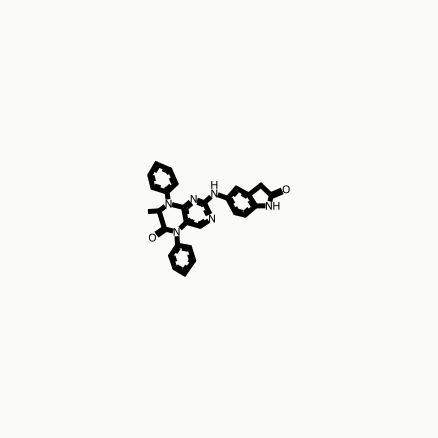 CC1C(=O)N(c2ccccc2)c2cnc(Nc3ccc4c(c3)CC(=O)N4)nc2N1c1ccccc1